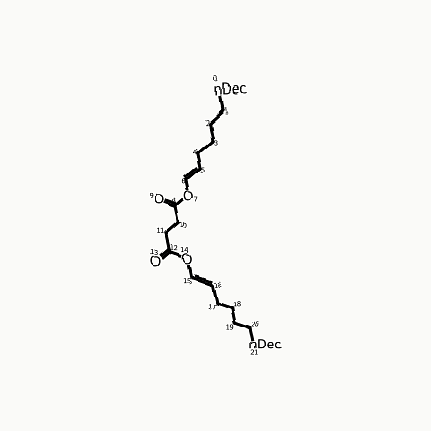 CCCCCCCCCCCCCCC=COC(=O)CCC(=O)OC=CCCCCCCCCCCCCCC